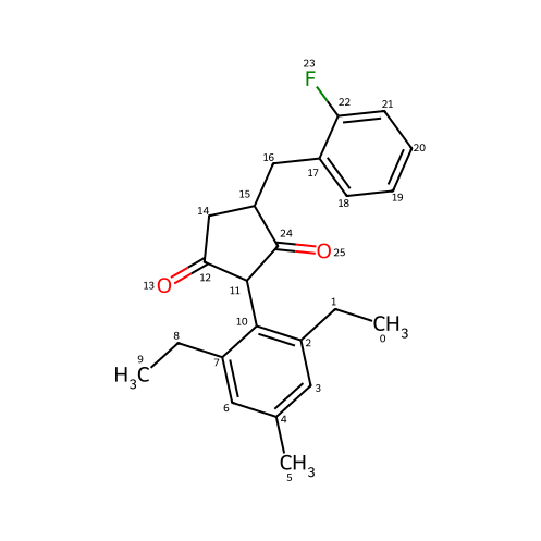 CCc1cc(C)cc(CC)c1C1C(=O)CC(Cc2ccccc2F)C1=O